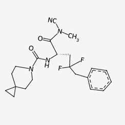 CN(C#N)C(=O)[C@H](CC(F)(F)Cc1ccccc1)NC(=O)N1CCC2(CC1)CC2